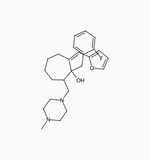 CN1CCN(CC2CCCCC(=Cc3ccco3)C2(O)Cc2ccccc2F)CC1